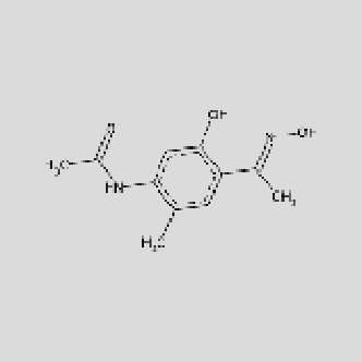 CC(=O)Nc1cc(O)c(C(C)=NO)cc1C